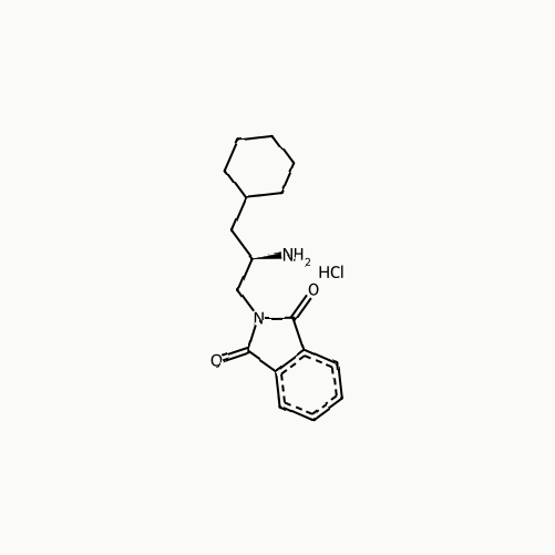 Cl.N[C@H](CC1CCCCC1)CN1C(=O)c2ccccc2C1=O